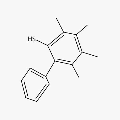 Cc1c(C)c(C)c(-c2ccccc2)c(S)c1C